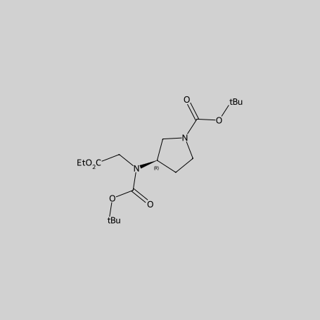 CCOC(=O)CN(C(=O)OC(C)(C)C)[C@@H]1CCN(C(=O)OC(C)(C)C)C1